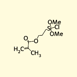 C=C(C)C(=O)OCCC[Si](Cl)(OC)OC